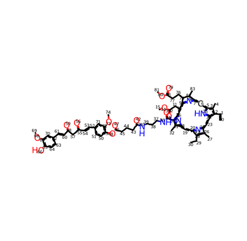 C=Cc1c(C)c2cc3nc(c(CC(=O)OC)c4[nH]c(cc5nc(cc1[nH]2)C(C)=C5CC)c(C)c4C(=O)NCCCNC(=O)CCCC(=O)Oc1ccc(/C=C/C(=O)CC(=O)/C=C/c2ccc(O)c(OC)c2)cc1OC)C(CCC(=O)OC)C3C